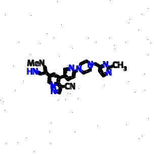 CN/C=C(\C=N)c1cc(-c2ccc(N3CCN(Cc4ccnc(C)n4)CC3)nc2)c2c(C#N)cnn2c1